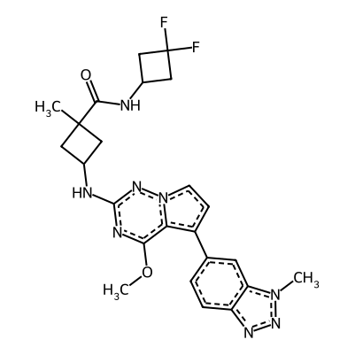 COc1nc(NC2CC(C)(C(=O)NC3CC(F)(F)C3)C2)nn2ccc(-c3ccc4nnn(C)c4c3)c12